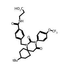 CC(C)(C)C1CCC2(CC1)CC(=O)N(c1ccc(OC(F)(F)F)cc1)C(=O)N2Cc1ccc(C(=O)NCCC(=O)O)cc1